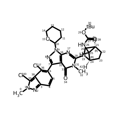 Cn1nc2ccc(-c3nn(C4CCCCO4)c4nc(N5C[C@H]6CC[C@@H]5[C@@H]6NC(=O)OC(C)(C)C)n(C)c(=O)c34)c(Cl)c2c1Cl